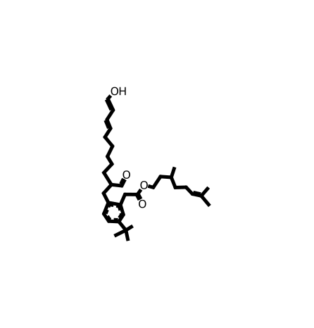 CC(C)=CCCC(C)CCOC(=O)Cc1cc(C(C)(C)C)ccc1CC(C=O)CCCCCC=CC=CO